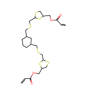 C=CC(=O)OCC1CSC(CSCC2CCCC(CSCC3SCC(COC(=O)C=C)S3)C2)S1